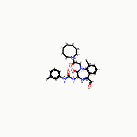 Cc1cccc(NC(=O)N[C@@H]2N=C(C=O)c3cccc(C)c3N(CC(=O)N3CCCCCCC3)C2=O)c1